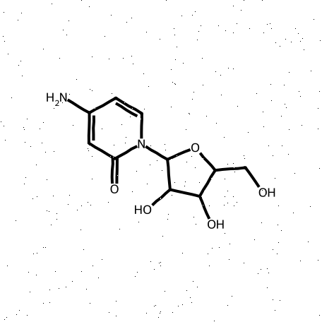 Nc1ccn(C2OC(CO)C(O)C2O)c(=O)c1